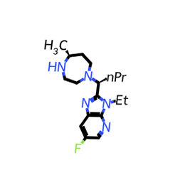 CCC[C@@H](c1nc2cc(F)cnc2n1CC)N1CCN[C@@H](C)CC1